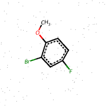 COc1[c]cc(F)cc1Br